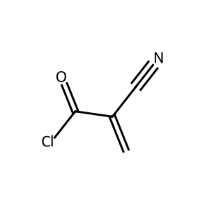 C=C(C#N)C(=O)Cl